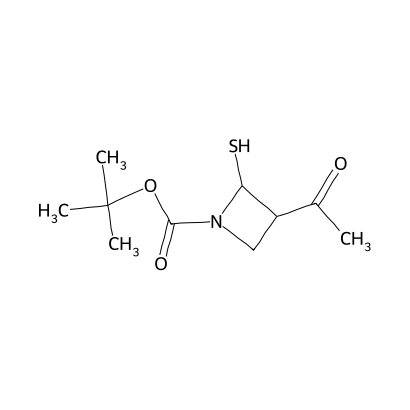 CC(=O)C1CN(C(=O)OC(C)(C)C)C1S